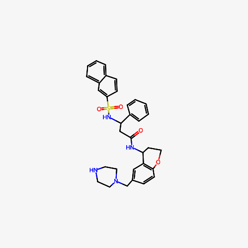 O=C(CC(NS(=O)(=O)c1ccc2ccccc2c1)c1ccccc1)NC1CCOc2ccc(CN3CCNCC3)cc21